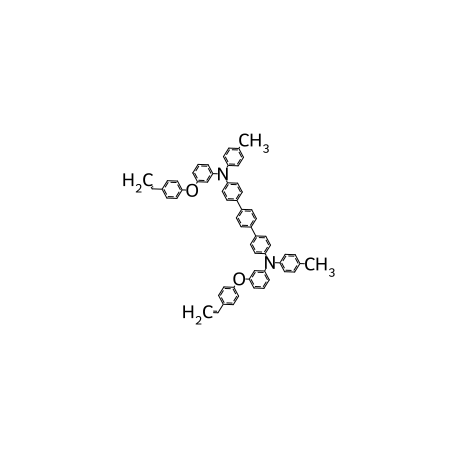 C=Cc1ccc(Oc2cccc(N(c3ccc(C)cc3)c3ccc(-c4ccc(-c5ccc(N(c6ccc(C)cc6)c6cccc(Oc7ccc(C=C)cc7)c6)cc5)cc4)cc3)c2)cc1